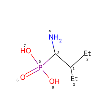 CCC(CC)C(N)P(=O)(O)O